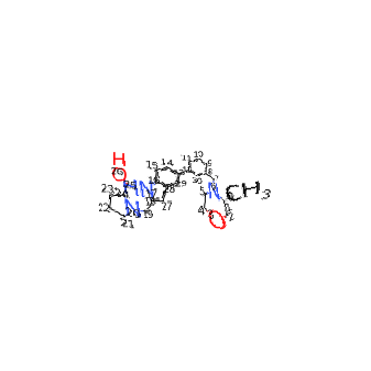 C[C@@H]1COCCN1Cc1cccc(-c2ccc3[nH]c(CN4CCCC4CO)cc3c2)c1